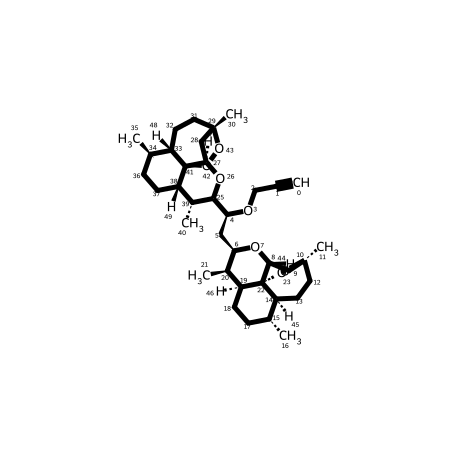 C#CCO[C@@H](C[C@H]1O[C@@H]2C[C@]3(C)CC[C@H]4[C@H](C)CC[C@@H]([C@H]1C)[C@@]24OO3)C1O[C@@H]2C[C@]3(C)CC[C@H]4[C@H](C)CC[C@@H]([C@H]1C)[C@@]24OO3